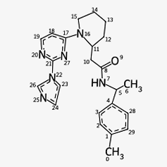 Cc1ccc(C(C)NC(=O)CC2CCCCN2c2ccnc(-n3ccnc3)n2)cc1